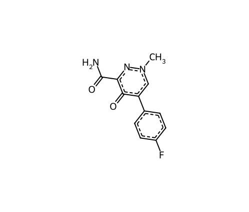 Cn1cc(-c2ccc(F)cc2)c(=O)c(C(N)=O)n1